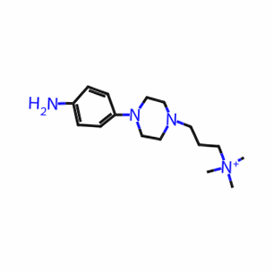 C[N+](C)(C)CCCN1CCN(c2ccc(N)cc2)CC1